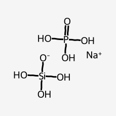 O=P(O)(O)O.[Na+].[O-][Si](O)(O)O